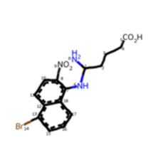 NC(CCCC(=O)O)Nc1c([N+](=O)[O-])ccc2c(Br)cccc12